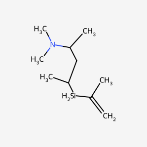 C=C(C)[SiH2]C(C)CC(C)N(C)C